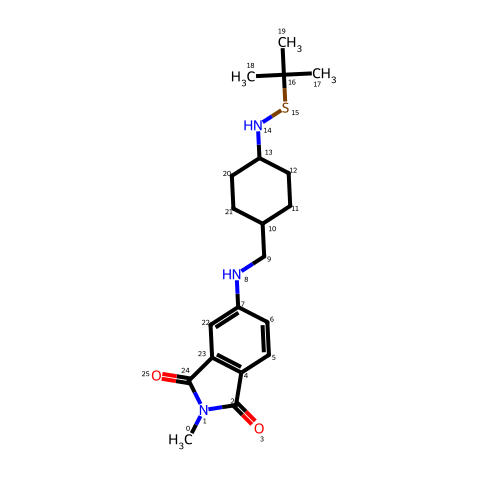 CN1C(=O)c2ccc(NCC3CCC(NSC(C)(C)C)CC3)cc2C1=O